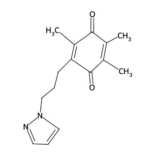 CC1=C(C)C(=O)C(CCCn2cccn2)=C(C)C1=O